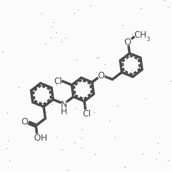 COc1cccc(COc2cc(Cl)c(Nc3ccccc3CC(=O)O)c(Cl)c2)c1